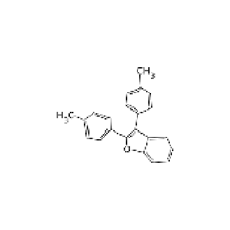 Cc1ccc(-c2oc3ccccc3c2-c2ccc(C)cc2)cc1